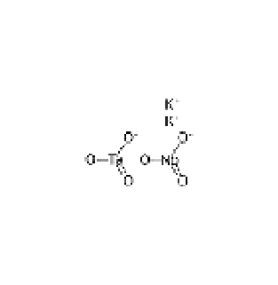 [K+].[K+].[O]=[Nb](=[O])[O-].[O]=[Ta](=[O])[O-]